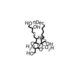 CCCCCCCCCCCCCCCCC(CO)(C(=O)O)N(C(=O)C(N)CO)C(=O)C(N)CSCC(O)CO